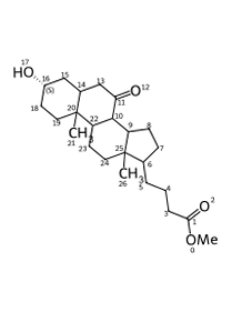 COC(=O)CCCC1CCC2C3C(=O)CC4C[C@@H](O)CCC4(C)C3CCC12C